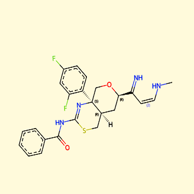 CN/C=C\C(=N)[C@H]1C[C@H]2CSC(NC(=O)c3ccccc3)=N[C@@]2(c2ccc(F)cc2F)CO1